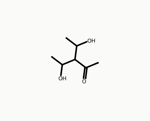 CC(=O)C(C(C)O)C(C)O